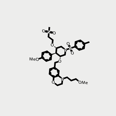 COCCCN1CCOc2ccc(CO[C@H]3CN(S(=O)(=O)c4ccc(C)cc4)C[C@@H](OCCS(C)(=O)=O)[C@@H]3c3ccc(OC)cc3)cc21